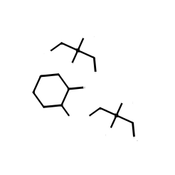 CC(C)(CO)CO.CC(C)(CO)CO.O=C(O)C1CCCCC1C(=O)O